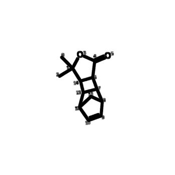 CC1(C)OC(=O)C2C3C4C=CC(C4)C3C21